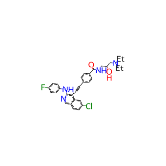 CCN(CC)CC(O)CNC(=O)c1ccc(C#Cc2c(Nc3ccc(F)cc3)ncc3ccc(Cl)cc23)cc1